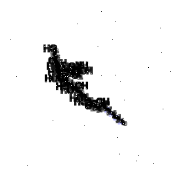 C/C=C/C=C/C=C/C=C/[C@H](C)[C@@H](O)[C@@H](C)[C@H](C)OC(=O)C[C@H](O)C[C@H](O)CC[C@@H](O)[C@H](O)C[C@H](O)C[C@]1(O)C[C@H](O)[C@@H](NC(=O)NNC(=O)CCCO)[C@H](C[C@H](C)O[C@@H]2O[C@H](C)[C@@H](O)[C@H](N)[C@@H]2O)O1